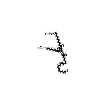 CC/C=C\C/C=C\C/C=C\C/C=C\C/C=C\CCCC(=O)OC[C@@H](COC(=O)CCCCCCC/C=C\CCCCCC)OC(=O)CCCCCCCCCCCCCCCCC